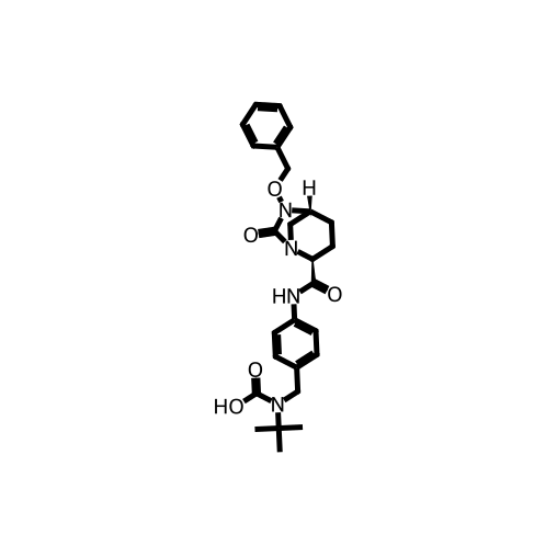 CC(C)(C)N(Cc1ccc(NC(=O)[C@@H]2CC[C@@H]3CN2C(=O)N3OCc2ccccc2)cc1)C(=O)O